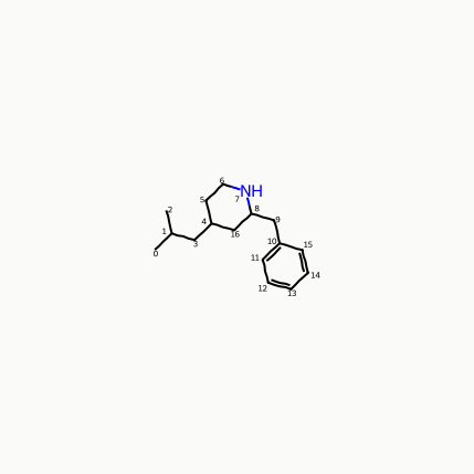 CC(C)CC1CCNC(Cc2ccccc2)C1